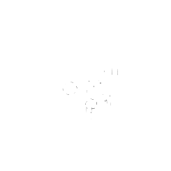 CCCC[C@@]1(CC)CS(=O)(=O)c2c[nH]cc2[C@@H](c2ccccc2)N1